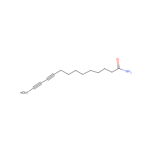 CCCCCCCCC#CC#CCCCCCCCCC(N)=O